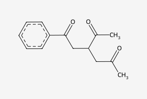 CC(=O)CC(CC(=O)c1ccccc1)C(C)=O